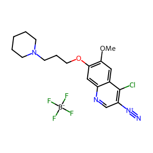 COc1cc2c(Cl)c([N+]#N)cnc2cc1OCCCN1CCCCC1.F[B-](F)(F)F